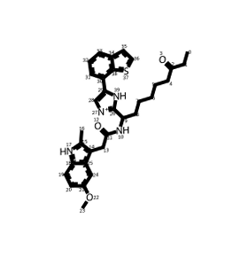 CCC(=O)CCCCCC(NC(=O)Cc1c(C)[nH]c2ccc(OC)cc12)C1=[N+]C=C(c2cccc3ccsc23)N1